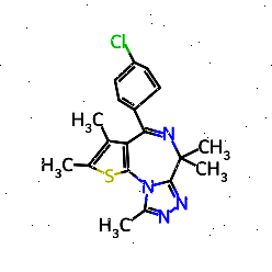 Cc1sc2c(c1C)C(c1ccc(Cl)cc1)=NC(C)(C)c1nnc(C)n1-2